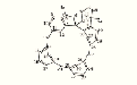 CCCC1(CCC)c2cccc(c2)Cc2cccc(c2)Cc2cccc(c2)Cc2ccc(C(C)(C)C)c1c2